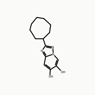 Oc1cc2nc(C3CCCCCCC3)nn2cc1O